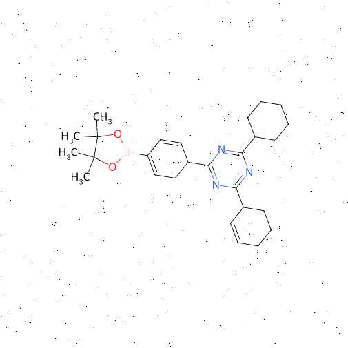 CC1(C)OB(C2=CCC(c3nc(C4C=CCCC4)nc(C4CCCCC4)n3)C=C2)OC1(C)C